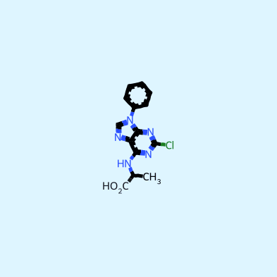 CC(Nc1nc(Cl)nc2c1ncn2-c1ccccc1)C(=O)O